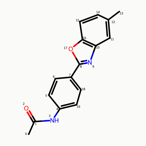 CC(=O)Nc1ccc(-c2nc3cc(C)ccc3o2)cc1